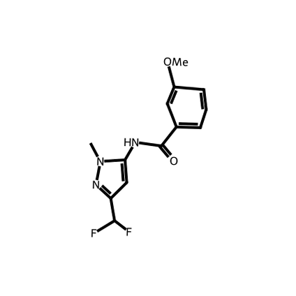 COc1cccc(C(=O)Nc2cc(C(F)F)nn2C)c1